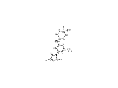 Cc1cc(C)n(-c2cc(C(F)(F)F)cc(NC3CCC(F)(F)CC3)n2)n1